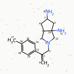 C=C(CN1CC2CC(N)CC2(N)C1)c1ccc(C)cc1